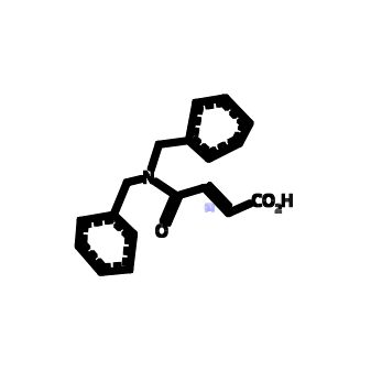 O=C(O)/C=C/C(=O)N(Cc1ccccc1)Cc1ccccc1